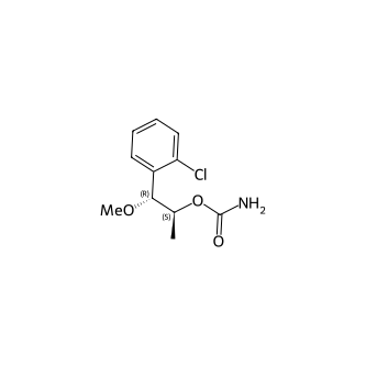 CO[C@H](c1ccccc1Cl)[C@H](C)OC(N)=O